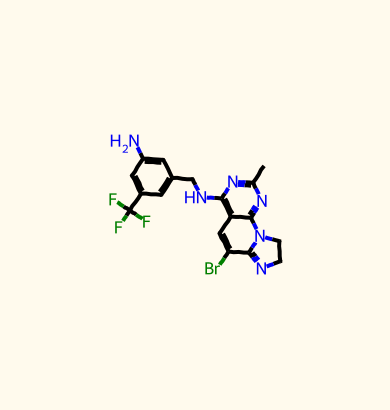 Cc1nc(NCc2cc(N)cc(C(F)(F)F)c2)c2c(n1)N1CCN=C1C(Br)=C2